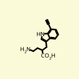 C#Cc1cccc2c(CC(CCN)C(=O)O)c[nH]c12